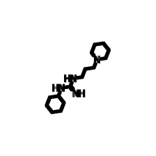 N=C(NCCCN1CCCCC1)NC1CCCCC1